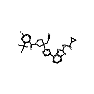 N#CCC1(n2cc(-c3cccc4nc(NC(=O)C5CC5)nn34)cn2)CCN(C(=O)c2ccc(F)cc2C(F)(F)F)C1